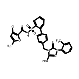 CCCCc1nn(-c2ccccc2C(F)(F)F)c(=O)n1Cc1ccc(-c2ccccc2S(=O)(=O)NC(=O)c2oc(C)cc2Cl)cc1